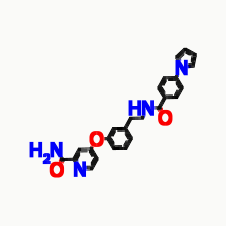 NC(=O)c1cc(Oc2cccc(CCNC(=O)c3ccc(-n4cccc4)cc3)c2)ccn1